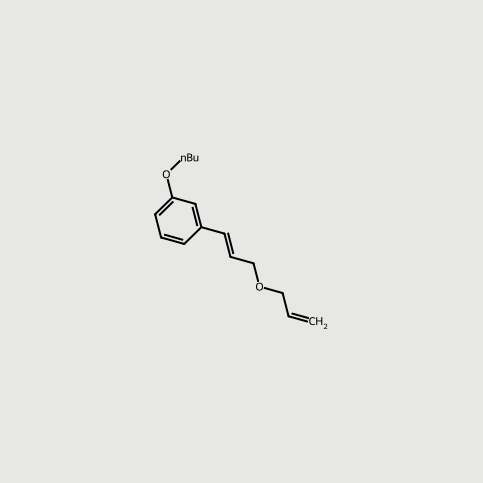 C=CCOC/C=C/c1cccc(OCCCC)c1